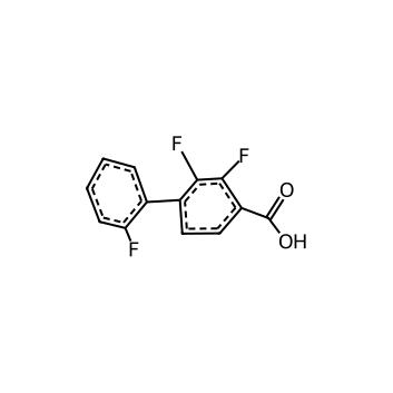 O=C(O)c1ccc(-c2ccccc2F)c(F)c1F